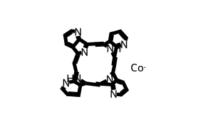 [Co].c1cnc2c(c1)-c1cc3[nH]c(cc4nc(cc5[nH]c(cc-2n1)c1cccnc51)-c1cccnc1-4)c1cccnc31